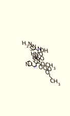 CCCCOC(=O)OC(C)OC(=O)C1=C(/C=C\c2cccnc2)CS[C@@H]2[C@H](NC(=O)/C(=N\O)c3csc(N)n3)C(=O)N12